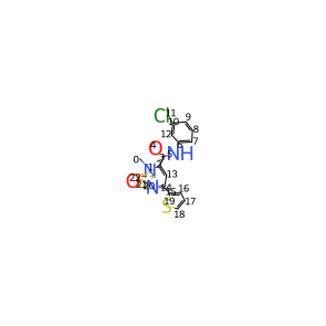 CN1C(C(=O)Nc2cccc(Cl)c2)=CC(c2cccs2)=N[S+]1[O-]